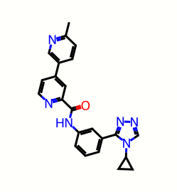 Cc1ccc(-c2ccnc(C(=O)Nc3cccc(-c4nncn4C4CC4)c3)c2)cn1